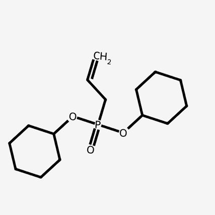 C=CCP(=O)(OC1CCCCC1)OC1CCCCC1